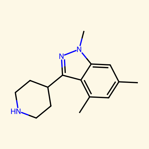 Cc1cc(C)c2c(C3CCNCC3)nn(C)c2c1